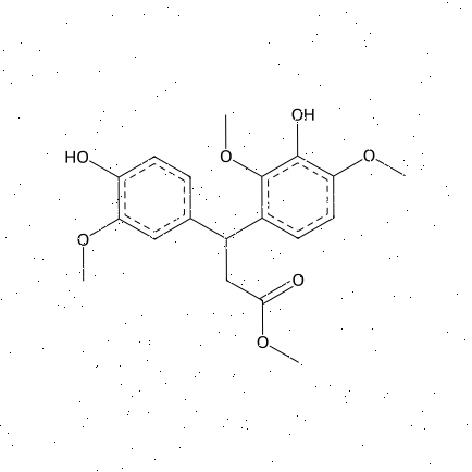 COC(=O)CC(c1ccc(O)c(OC)c1)c1ccc(OC)c(O)c1OC